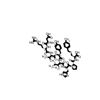 CC[C@H](C)[C@H](NC(=O)[C@H](Cc1ccc(O)cc1)NC(=O)[C@@H](NC(=O)[C@H](CCCNC(=N)N)NC(=O)[C@@H](N)CC(=O)O)C(C)C)C(=O)N[C@@H](Cc1c[nH]cn1)C(=O)N1CCC[C@H]1C(=O)N[C@@H](CSCc1ccc(C)cc1)C(=O)O